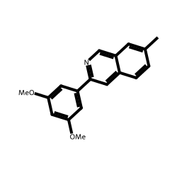 COc1cc(OC)cc(-c2cc3ccc(C)cc3cn2)c1